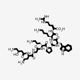 N=C(N)NCC/C=C(\NC(=O)[C@H](CCCCN)NC(=O)[C@H](Cc1c[nH]c2ccccc12)NC(=O)[C@@H]1CCCN1C(=O)[C@@H](CCCN)NC(=O)CNC(=O)C(CCN)NC(=O)C[C@@H](O)CN)C(=O)O